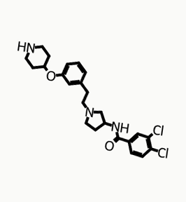 O=C(NC1CCN(CCc2cccc(OC3CCNCC3)c2)C1)c1ccc(Cl)c(Cl)c1